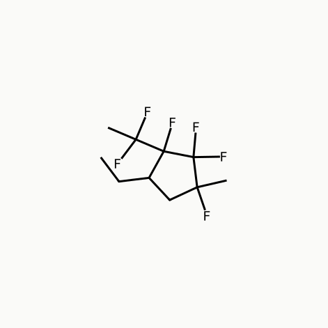 CCC1CC(C)(F)C(F)(F)C1(F)C(C)(F)F